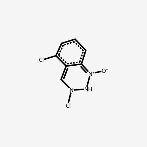 [O-][N+]1=c2cccc(Cl)c2=CN(Cl)N1